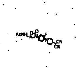 CC(=O)NC[C@H]1CN(c2ccc(N3CCC(C(C#N)C#N)CC3)c(F)c2)C(=O)O1